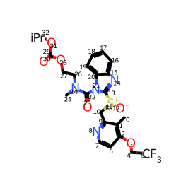 Cc1c(OCC(F)(F)F)ccnc1C[S@@+]([O-])c1nc2ccccc2n1C(=O)N(C)CCOC(=O)OC(C)C